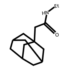 CCNC(=O)CC12CC3CC(CC(C3)C1)C2